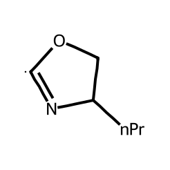 CCCC1CO[C]=N1